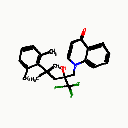 Cc1cccc(C)c1C(C)(C)CC(O)(Cn1ccc(=O)c2ccccc21)C(F)(F)F